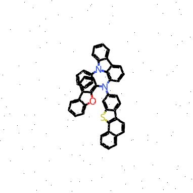 c1ccc(-n2c3ccccc3c3cccc(N(c4ccc5c(c4)sc4c6ccccc6ccc54)c4cccc5c4oc4ccccc45)c32)cc1